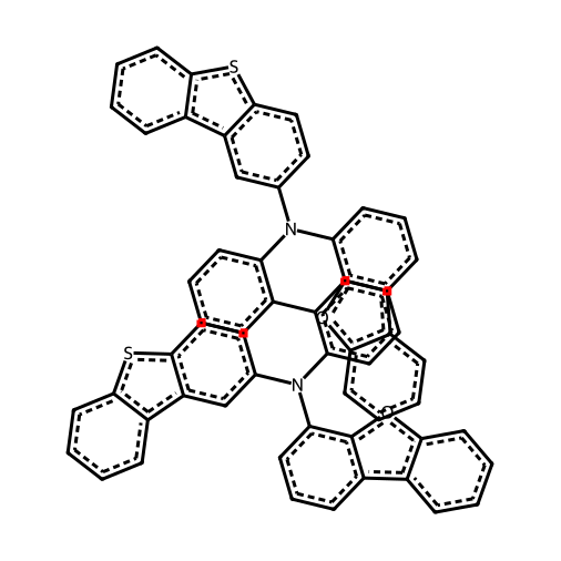 c1ccc(N(c2ccc3sc4ccccc4c3c2)c2cccc3c2oc2ccccc23)c(-c2ccccc2N(c2ccc3sc4ccccc4c3c2)c2cccc3c2oc2ccccc23)c1